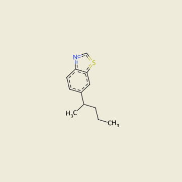 CCCC(C)c1ccc2ncsc2c1